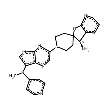 CN(c1ccncc1)c1c[nH]c2nc(N3CCC4(CC3)Oc3ncccc3[C@H]4N)cnc12